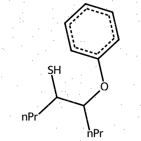 CCCC(S)C(CCC)Oc1ccccc1